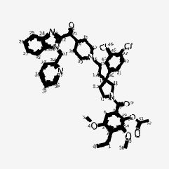 CCc1c(OC)cc(C(=O)N2CCC(CCN3CCC(C(=O)c4nc5ccccc5n4Cc4ccccn4)CC3)(c3ccc(Cl)c(Cl)c3)C2)c(OC(C)=O)c1OC